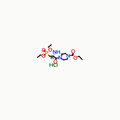 CCOC(=O)N1CCN(C(=O)[C@@H](N)CP(=O)(OCC)OCC)CC1.Cl